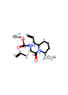 C=CCC1CCC[C@@H](C(=O)O)N1C(=O)[C@H](CC=C)NC(=O)OC(C)(C)C